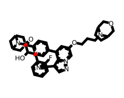 N#Cc1cnn2cc(OCCCN3C4CCC3COC4)cc(-c3ccc(N4CC5CC(C4)N5C(=O)C(O)Cc4ccccc4F)nc3)c12